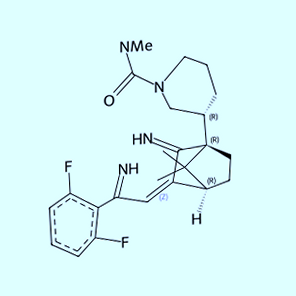 CNC(=O)N1CCC[C@H]([C@@]23CC[C@@H](/C(=C/C(=N)c4c(F)cccc4F)C2=N)C3(C)C)C1